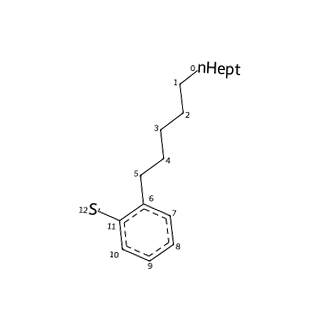 CCCCCCCCCCCCc1ccccc1[S]